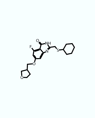 O=c1[nH]c(CSC2CCCCC2)nc2cc(OCC3CCOC3)cc(F)c12